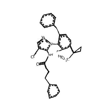 O=C(CCc1ccccc1)Nc1c(Cl)cnn1-c1c(-c2ccccc2)ccc(C2(C(=O)O)CC2)c1F